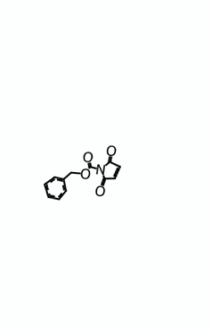 O=C1C=CC(=O)N1C(=O)OCc1ccccc1